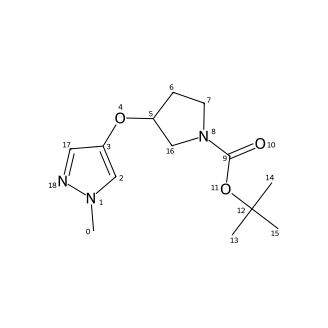 Cn1cc(OC2CCN(C(=O)OC(C)(C)C)C2)cn1